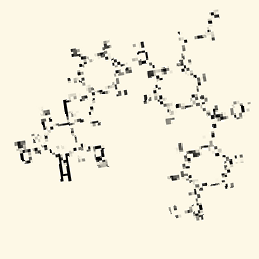 CCCc1cc(C(=O)c2ccc(OC)cc2)ccc1Oc1cccc(C[C@@]2(C)OC(=O)NC2=O)c1